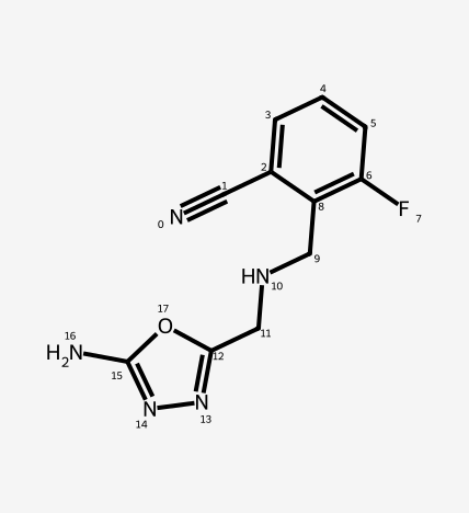 N#Cc1cccc(F)c1CNCc1nnc(N)o1